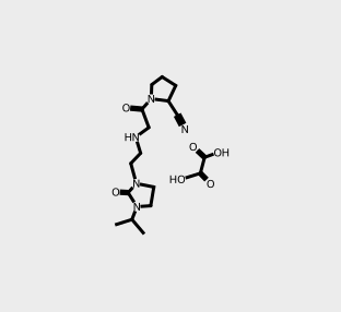 CC(C)N1CCN(CCNCC(=O)N2CCCC2C#N)C1=O.O=C(O)C(=O)O